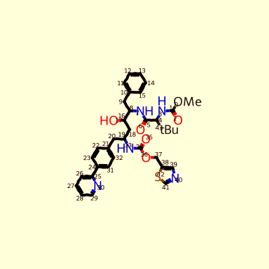 COC(=O)NC(C(=O)NC(Cc1ccccc1)C(O)CC(Cc1ccc(-c2ccccn2)cc1)NC(=O)OCc1cncs1)C(C)(C)C